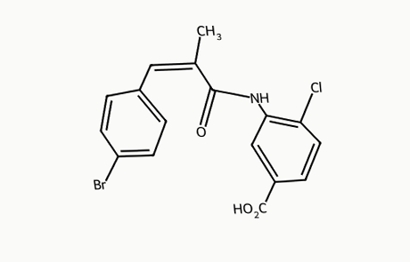 CC(=Cc1ccc(Br)cc1)C(=O)Nc1cc(C(=O)O)ccc1Cl